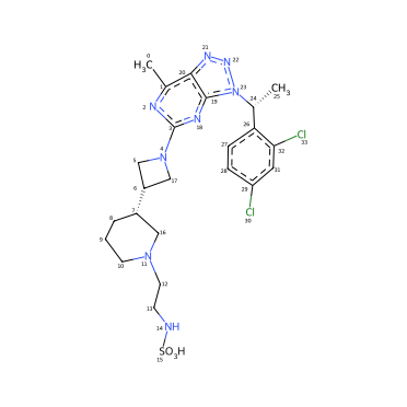 Cc1nc(N2CC([C@H]3CCCN(CCNS(=O)(=O)O)C3)C2)nc2c1nnn2[C@H](C)c1ccc(Cl)cc1Cl